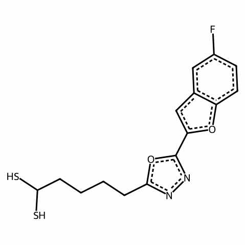 Fc1ccc2oc(-c3nnc(CCCCC(S)S)o3)cc2c1